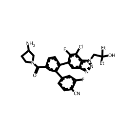 CCC(O)(CC)Cn1nnc2cc(-c3ccc(C(=O)N4CCC(N)C4)cc3-c3ccc(C#N)c(F)c3)c(F)c(Cl)c21